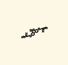 CCCNCCOc1ccc2c(c1)oc(=O)c1cc(OCCNCCC)ccc12